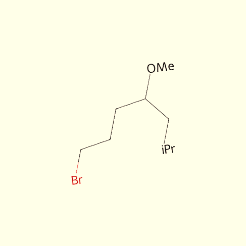 COC(CCCBr)CC(C)C